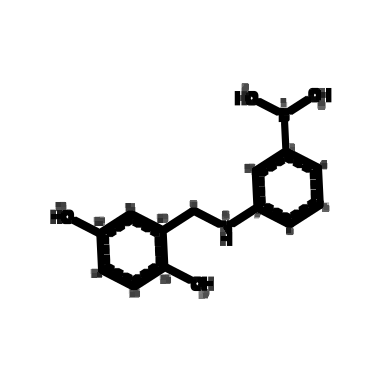 OB(O)c1cccc(NCc2cc(O)ccc2O)c1